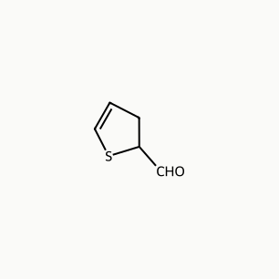 O=CC1CC=CS1